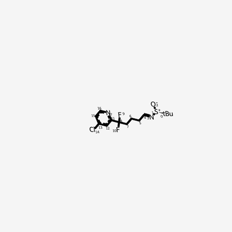 CC(C)(C)[S@@+]([O-])/N=C/CCCC(F)(F)c1cc(Cl)ccn1